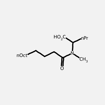 CCCCCCCCCCCC(=O)N(C)C(CCC)C(=O)O